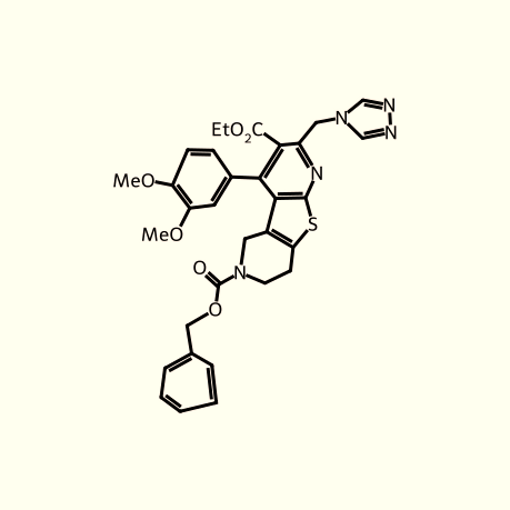 CCOC(=O)c1c(Cn2cnnc2)nc2sc3c(c2c1-c1ccc(OC)c(OC)c1)CN(C(=O)OCc1ccccc1)CC3